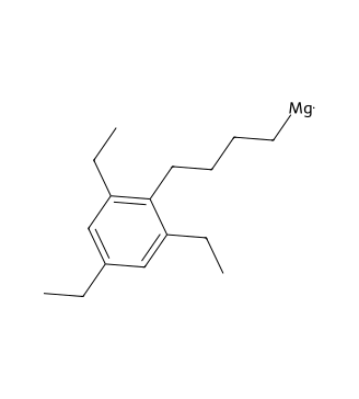 CCc1cc(CC)c(CCC[CH2][Mg])c(CC)c1